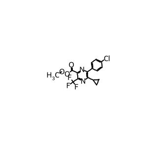 COOC(=O)c1nc(-c2ccc(Cl)cc2)c(C2CC2)nc1C(F)(F)F